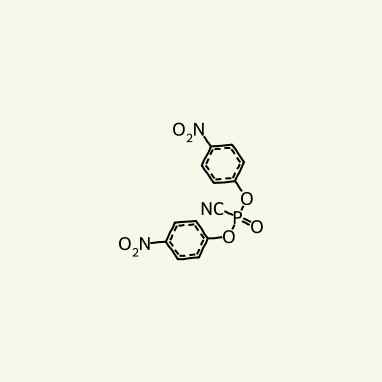 N#CP(=O)(Oc1ccc([N+](=O)[O-])cc1)Oc1ccc([N+](=O)[O-])cc1